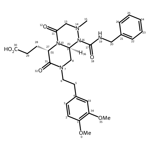 COc1ccc(CCN2C[C@H]3N(C(=O)CN(C)N3C(=O)NCc3ccccc3)[C@@H](CCC(=O)O)C2=O)cc1OC